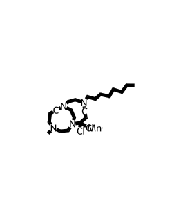 CCCCCCCCN1CCN2CCCN(C)CCN(CC2)C(Cl)(Cl)CC1.[Mn]